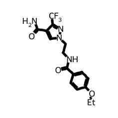 CCOc1ccc(C(=O)NCCn2cc(C(N)=O)c(C(F)(F)F)n2)cc1